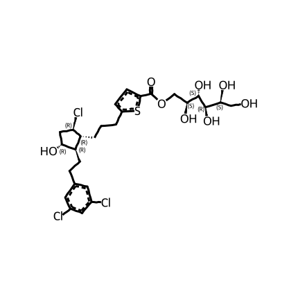 O=C(OC[C@H](O)[C@H](O)[C@H](O)[C@@H](O)CO)c1ccc(CCC[C@@H]2[C@@H](CCc3cc(Cl)cc(Cl)c3)[C@H](O)C[C@H]2Cl)s1